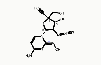 C#C[C@]1(CO)O[C@@H](n2ccc(N)n/c2=N\O)C(N=[N+]=[N-])[C@@H]1O